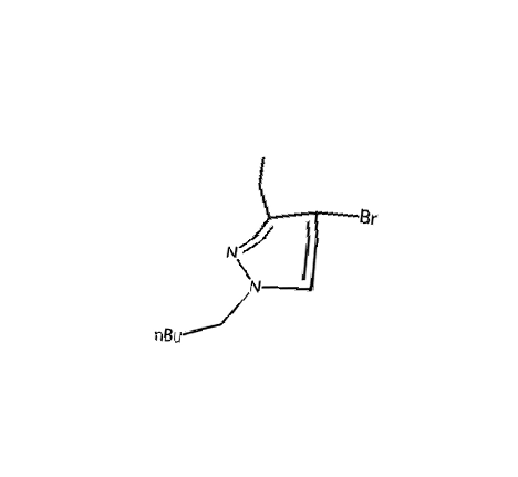 CCCCCn1cc(Br)c(C)n1